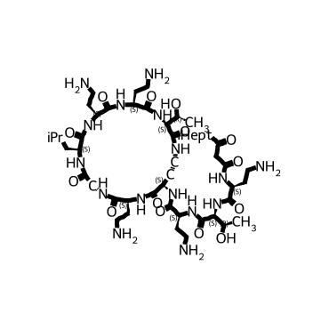 CCCCCCCC(=O)CC(=O)N[C@@H](CCN)C(=O)N[C@H](C(=O)N[C@@H](CCN)C(=O)N[C@H]1CCNC(=O)[C@H]([C@@H](C)O)NC(=O)[C@H](CCN)NC(=O)[C@H](CCN)NC(=O)[C@H](CC(C)C)NC(=O)CNC(=O)[C@H](CCN)NC1=O)[C@@H](C)O